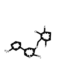 Nc1cccc(-c2cnc(N)c(OCc3c(F)ccc(F)c3Cl)c2)c1